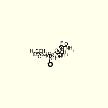 CCC(C)(C)C(=O)SCCOP(=O)(NCc1ccccc1)OC[C@H]1O[C@H](n2cc(F)c(C(N)=O)n2)[C@@](C)(O)C1O